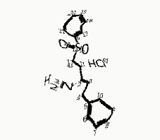 Cl.N[C@@H](CCc1ccccc1)CCS(=O)(=O)c1ccccc1